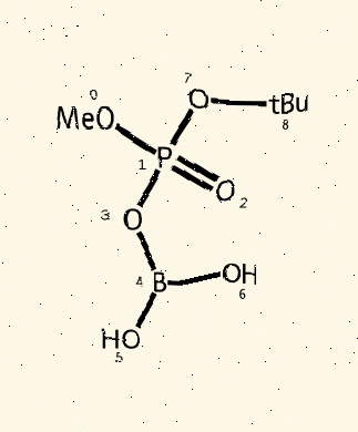 COP(=O)(OB(O)O)OC(C)(C)C